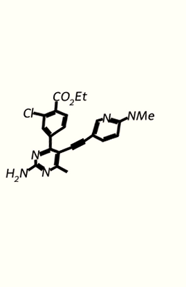 CCOC(=O)c1ccc(-c2nc(N)nc(C)c2C#Cc2ccc(NC)nc2)cc1Cl